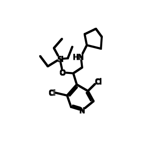 CC[Si](CC)(CC)OC(CNC1CCCC1)c1c(Cl)cncc1Cl